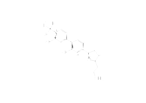 CCCC1CCC(c2ccc(-c3ccc(C(F)(F)F)c(F)c3)c(F)c2)O1